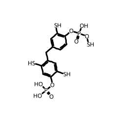 O=P(O)(O)Oc1cc(S)c(Cc2ccc(OP(=O)(O)OS)c(S)c2)cc1S